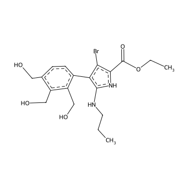 CCCNc1[nH]c(C(=O)OCC)c(Br)c1-c1ccc(CO)c(CO)c1CO